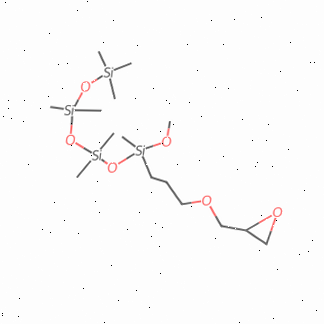 CO[Si](C)(CCCOCC1CO1)O[Si](C)(C)O[Si](C)(C)O[Si](C)(C)C